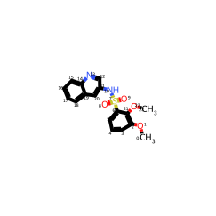 COc1cccc(S(=O)(=O)Nc2cnc3ccccc3c2)c1OC